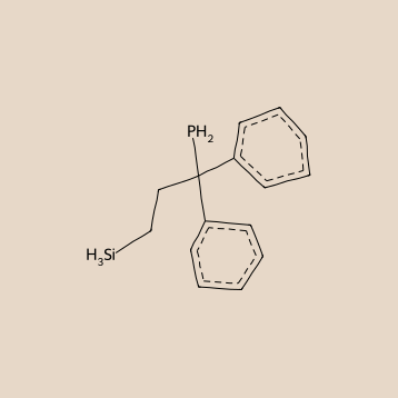 [SiH3]CCC(P)(c1ccccc1)c1ccccc1